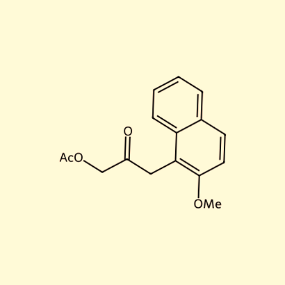 COc1ccc2ccccc2c1CC(=O)COC(C)=O